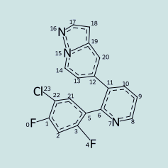 Fc1cc(F)c(-c2ncccc2-c2ccn3nccc3c2)cc1Cl